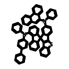 c1ccc(-c2ccc(N(c3ccccc3)c3cccc4c3-c3ccccc3C43c4cc(N(c5ccccc5)c5cc6ccccc6c6ccccc56)ccc4-c4sc5ccccc5c43)cc2)cc1